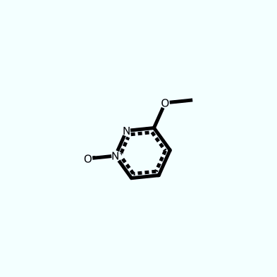 COc1ccc[n+]([O-])n1